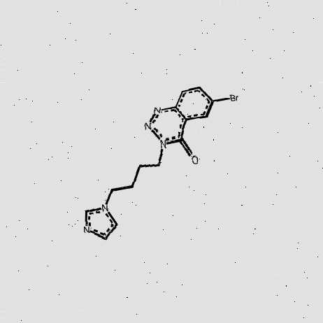 O=c1c2cc(Br)ccc2nnn1CCCCn1ccnc1